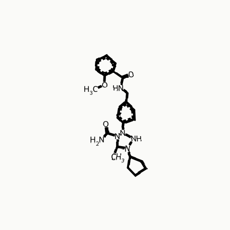 COc1ccccc1C(=O)NCc1ccc(N2NN(C3CCCC3)C(C)N2C(N)=O)cc1